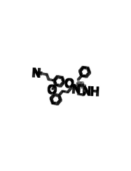 N#CCCc1ccccc1Oc1ccccc1CCC(=O)N1CCNC[C@H]1Cc1ccccc1